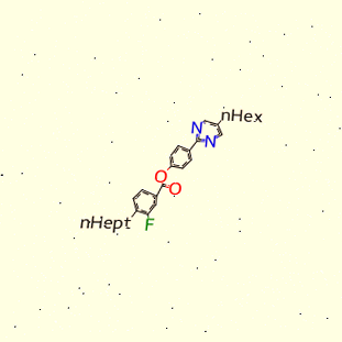 CCCCCCCc1ccc(C(=O)Oc2ccc(-c3ncc(CCCCCC)cn3)cc2)cc1F